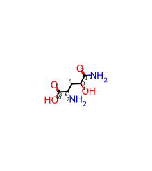 NC(=O)C(O)C[C@H](N)C(=O)O